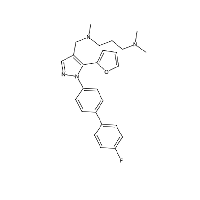 CN(C)CCCN(C)Cc1cnn(-c2ccc(-c3ccc(F)cc3)cc2)c1-c1ccco1